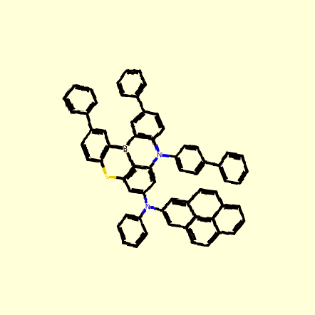 c1ccc(-c2ccc(N3c4ccc(-c5ccccc5)cc4B4c5cc(-c6ccccc6)ccc5Sc5cc(N(c6ccccc6)c6cc7ccc8cccc9ccc(c6)c7c89)cc3c54)cc2)cc1